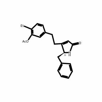 CCc1ccc(CCC2=CC(=O)N[C@H]2Cc2ccccc2)cc1OC(C)=O